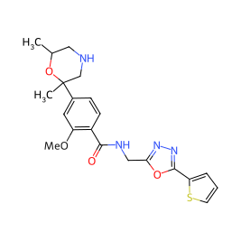 COc1cc(C2(C)CNCC(C)O2)ccc1C(=O)NCc1nnc(-c2cccs2)o1